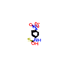 O=[N+]([O-])c1ccc(NC(O)=S)cc1